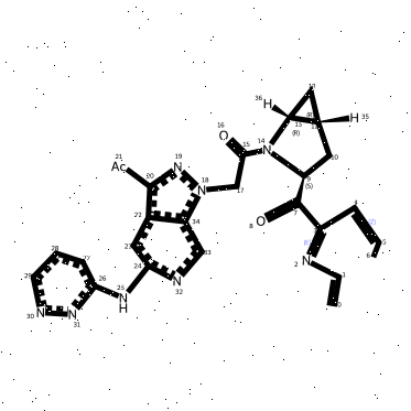 C=C/N=C(\C=C/C)C(=O)[C@@H]1C[C@H]2C[C@H]2N1C(=O)Cn1nc(C(C)=O)c2cc(Nc3cccnn3)ncc21